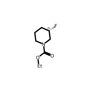 CCOC(=O)N1CCC[C@H](F)C1